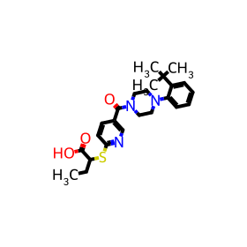 CCC(Sc1ccc(C(=O)N2CCN(c3ccccc3C(C)(C)C)CC2)cn1)C(=O)O